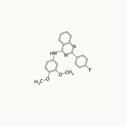 COc1ccc(Nc2nc(-c3ccc(F)cc3)nc3ccccc23)cc1OC